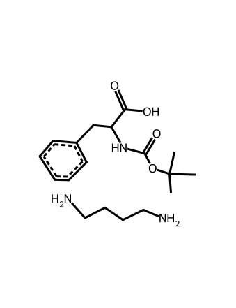 CC(C)(C)OC(=O)NC(Cc1ccccc1)C(=O)O.NCCCCN